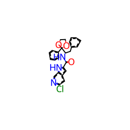 O=C(NC(Cc1ccccc1)C1(c2ccccc2)OCCO1)c1cc2cc(Cl)ncc2[nH]1